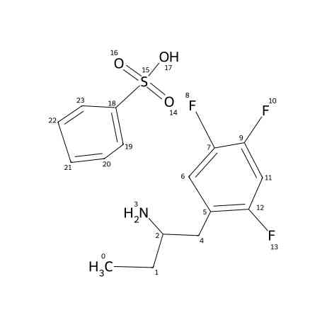 CCC(N)Cc1cc(F)c(F)cc1F.O=S(=O)(O)c1ccccc1